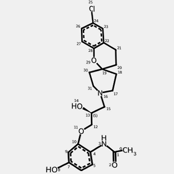 CC(=O)Nc1ccc(O)cc1OC[C@@H](O)CN1CCC2(CCc3cc(Cl)ccc3O2)CC1